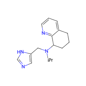 CC(C)N(Cc1cnc[nH]1)C1CCCc2cccnc21